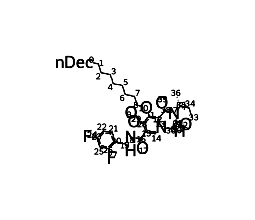 CCCCCCCCCCCCCCCCCC(=O)Oc1c2n(cc(C(=O)NCc3ccc(F)cc3F)c1=O)C[C@@H]1OCC[C@@H](C)N1C2=O